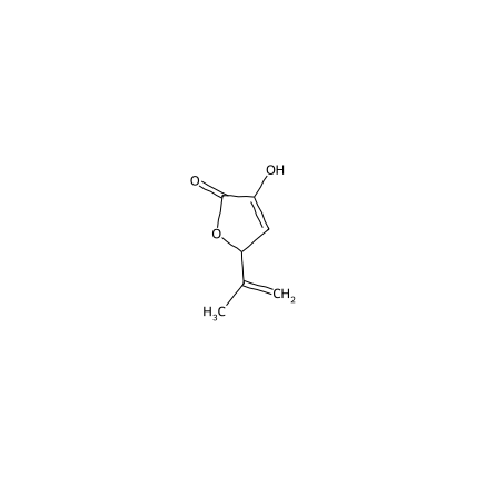 C=C(C)C1C=C(O)C(=O)O1